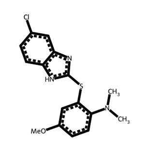 COc1ccc(N(C)C)c(Sc2nc3cc(Cl)ccc3[nH]2)c1